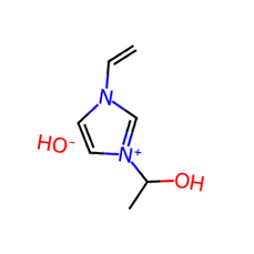 C=Cn1cc[n+](C(C)O)c1.[OH-]